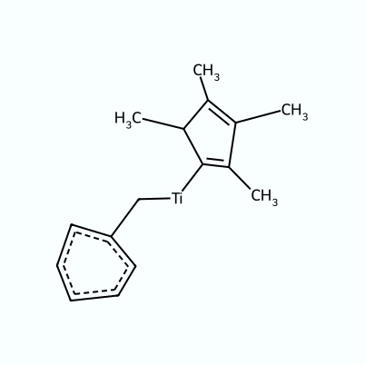 CC1=C(C)C(C)[C]([Ti][CH2]c2ccccc2)=C1C